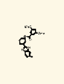 COc1cc(OC)cc(C(=O)NC2CCCC(c3nc4ccc(F)cc4[nH]3)C2)c1